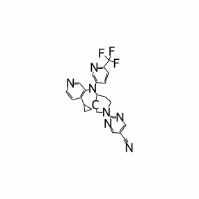 N#Cc1cnc(N2CCC(N(c3ccc(C(F)(F)F)nc3)c3cnccc3C3CC3)CC2)nc1